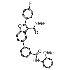 CNC(=O)c1c(-c2ccc(F)cc2)oc2ccc(-c3cccc(C(=O)Nc4ccccc4OC)c3)cc12